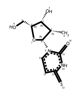 C[C@H]1[C@@H](O)[C@@H](CO)O[C@H]1n1ccc(=S)[nH]c1=O